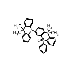 CC1(C)c2ccccc2N(c2ccc3c(c2)P(=O)(c2ccccc2)c2ccccc2C3(C)C)c2ccccc21